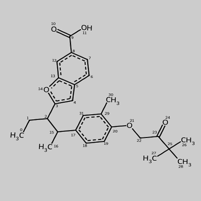 CCC(c1cc2ccc(C(=O)O)cc2o1)C(C)c1ccc(OCC(=O)C(C)(C)C)c(C)c1